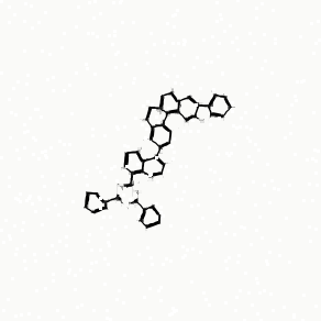 c1ccc(-c2nc(-c3ccccc3)nc(-c3cccc4c(-c5ccc6c(ccc7ccc8cc9c(cc8c76)oc6ccccc69)c5)cccc34)n2)cc1